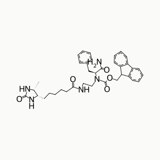 C[C@H]1NC(=O)N[C@H]1CCCCCC(=O)NCCN(C(=O)OCC1c2ccccc2-c2ccccc21)[C@@H](Cc1ccccc1)C(N)=O